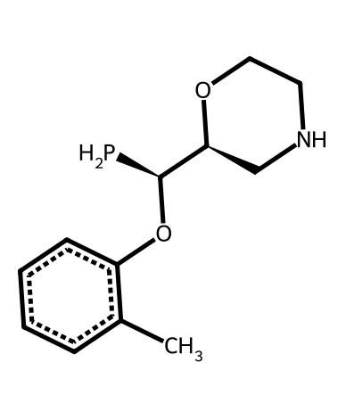 Cc1ccccc1O[C@@H](P)[C@@H]1CNCCO1